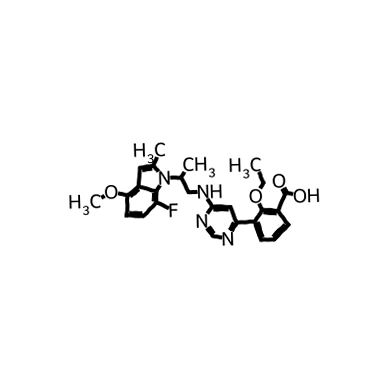 CCOc1c(C(=O)O)cccc1-c1cc(NCC(C)n2c(C)cc3c(OC)ccc(F)c32)ncn1